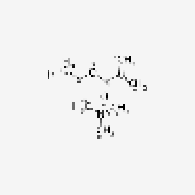 C=C(C)C(=O)OCC.CN(C)C.I